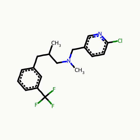 CC(Cc1cccc(C(F)(F)F)c1)CN(C)Cc1ccc(Cl)nc1